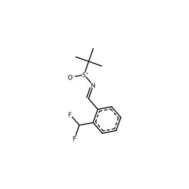 CC(C)(C)[S+]([O-])N=Cc1ccccc1C(F)F